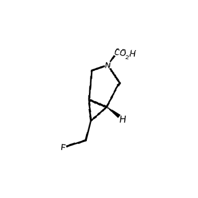 O=C(O)N1CC2C(CF)[C@H]2C1